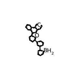 Bc1ccccc1-c1cccc(-c2cccc3c2oc2c4ccccc4c4ccccc4c32)c1